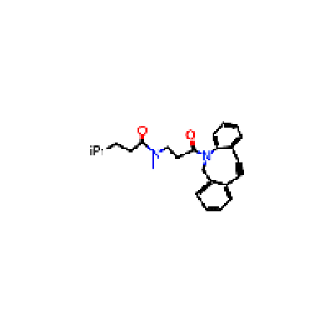 CC(C)CCC(=O)NCCC(=O)N1Cc2ccccc2C#Cc2ccccc21